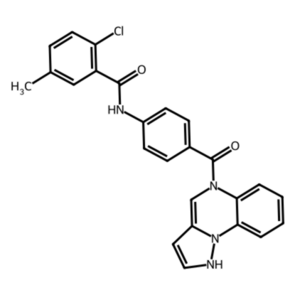 Cc1ccc(Cl)c(C(=O)Nc2ccc(C(=O)N3C=C4C=CNN4c4ccccc43)cc2)c1